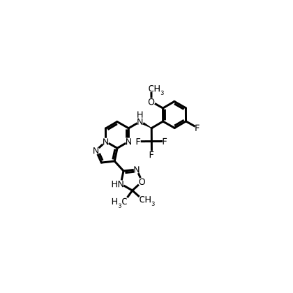 COc1ccc(F)cc1[C@H](Nc1ccn2ncc(C3=NOC(C)(C)N3)c2n1)C(F)(F)F